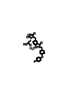 COc1ccc(CN2C(=O)NC(=O)[C@H]2CCC(=O)O)cc1C(=O)NCc1ccc(Oc2ccc(F)cc2)cc1